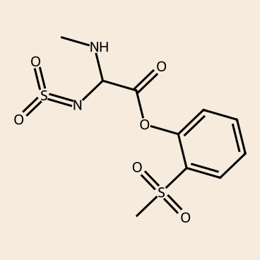 CNC(N=S(=O)=O)C(=O)Oc1ccccc1S(C)(=O)=O